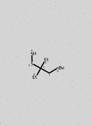 CCCCCC(CC)(CC)SS